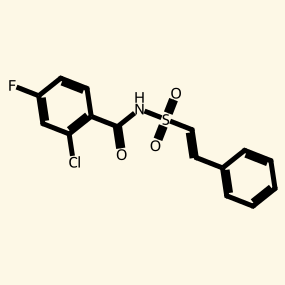 O=C(NS(=O)(=O)/C=C/c1ccccc1)c1ccc(F)cc1Cl